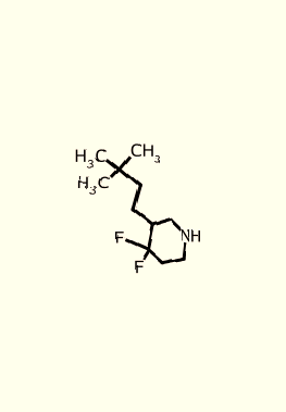 CC(C)(C)CCC1CNCCC1(F)F